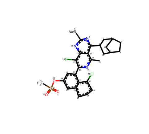 CSc1nc(C2CC3CCC(C3)C2)c2c(C)nc(-c3cc(OS(=O)(=O)C(F)(F)F)cc4cccc(Cl)c34)c(F)c2n1